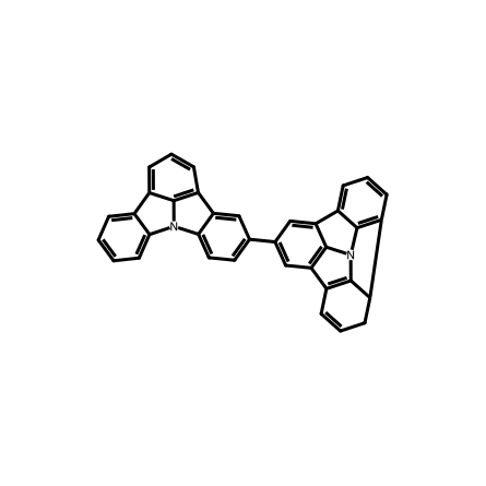 C1=Cc2c3n4c5c(cccc5c5cc(-c6ccc7c(c6)c6cccc8c9ccccc9n7c86)cc2c54)C3C1